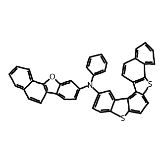 c1ccc(N(c2ccc3c(c2)oc2c4ccccc4ccc32)c2ccc3sc4ccc5sc6c7ccccc7ccc6c5c4c3c2)cc1